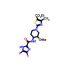 CCOC(=O)c1sc(N2CCC(NC(=O)c3nc(I)c(I)[nH]3)C(OC)C2)nc1C